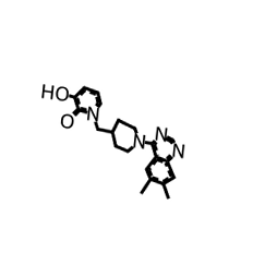 Cc1cc2ncnc(N3CCC(Cn4cccc(O)c4=O)CC3)c2cc1C